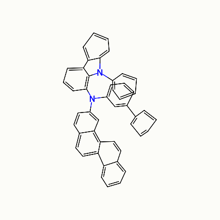 c1ccc(-c2cccc(N(c3ccc4ccc5c6ccccc6ccc5c4c3)c3cccc4c5ccccc5n(-c5ccccc5)c34)c2)cc1